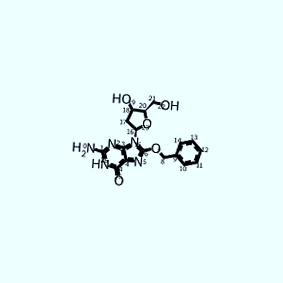 Nc1nc2c(nc(OCc3ccccc3)n2[C@H]2CC(O)[C@@H](CO)O2)c(=O)[nH]1